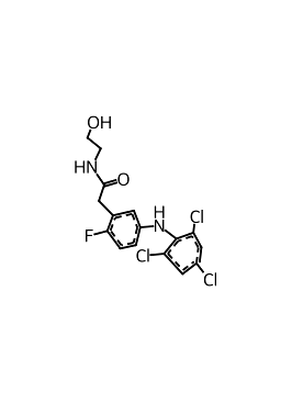 O=C(Cc1cc(Nc2c(Cl)cc(Cl)cc2Cl)ccc1F)NCCO